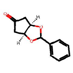 O=C1C[C@@H]2OC(c3ccccc3)O[C@@H]2C1